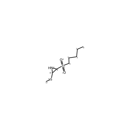 CCCCCS(=O)(=O)C1NC1SC